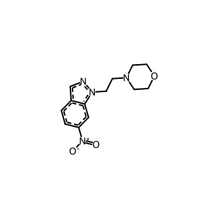 O=[N+]([O-])c1ccc2cnn(CCN3CCOCC3)c2c1